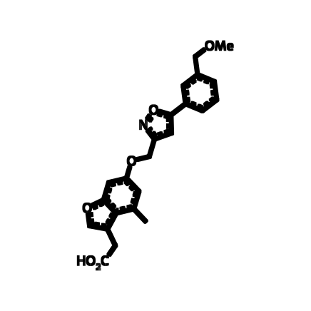 COCc1cccc(-c2cc(COc3cc(C)c4c(CC(=O)O)coc4c3)no2)c1